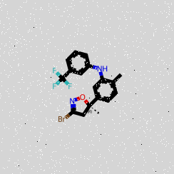 Cc1ccc([C@@]2(C)CC(Br)=NO2)cc1Nc1cccc(C(F)(F)F)c1